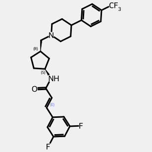 O=C(/C=C/c1cc(F)cc(F)c1)N[C@H]1CC[C@@H](CN2CCC(c3ccc(C(F)(F)F)cc3)CC2)C1